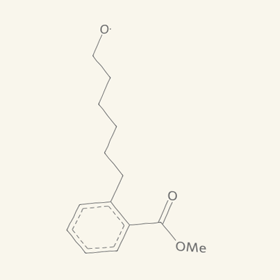 COC(=O)c1ccccc1CCCCCC[O]